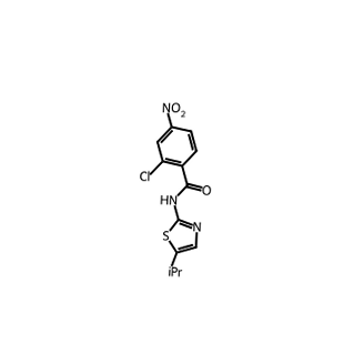 CC(C)c1cnc(NC(=O)c2ccc([N+](=O)[O-])cc2Cl)s1